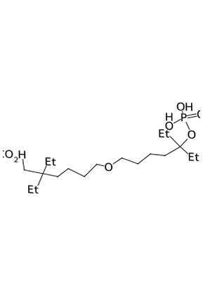 CCC(CC)(CCCCOCCCCC(CC)(CC)OP(=O)(O)O)CC(=O)O